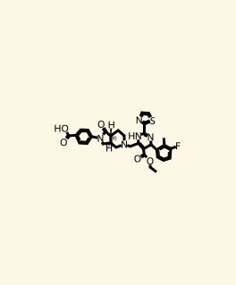 CCOC(=O)C1=C(CN2CC[C@H]3C(=O)N(c4ccc(C(=O)O)cc4)C[C@H]3C2)NC(c2nccs2)=NC1c1cccc(F)c1C